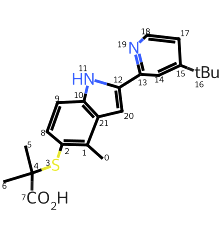 Cc1c(SC(C)(C)C(=O)O)ccc2[nH]c(-c3cc(C(C)(C)C)ccn3)cc12